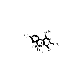 CCCOc1nn(C)c(=O)c(O)c1-c1ccc(C(F)(F)F)cc1S(C)(=O)=O